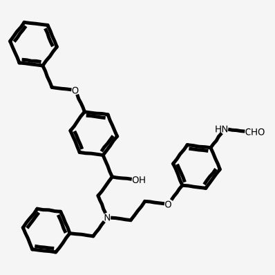 O=CNc1ccc(OCCN(Cc2ccccc2)CC(O)c2ccc(OCc3ccccc3)cc2)cc1